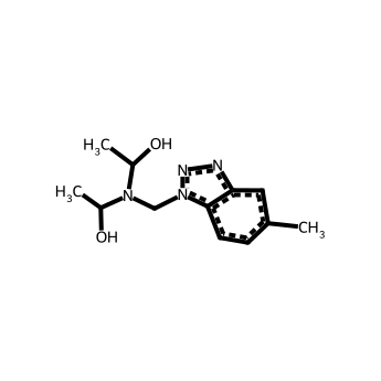 Cc1ccc2c(c1)nnn2CN(C(C)O)C(C)O